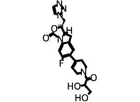 O=C(C(O)CO)N1CC=C(c2cc3c(cc2F)N2C(=O)O[C@@H](Cn4ccnn4)[C@@H]2C3)CC1